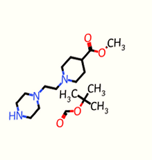 CC(C)(C)OC=O.COC(=O)C1CCN(CCN2CCNCC2)CC1